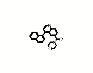 O=C(c1ccc2nccc(-c3cccc4ccccc34)c2c1)N1CCOCC1